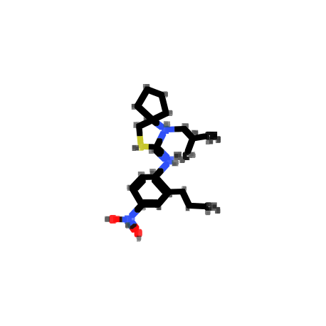 CCCc1cc([N+](=O)[O-])ccc1N=C1SCC2(CCCC2)N1CC(C)C